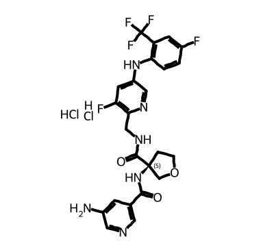 Cl.Cl.Nc1cncc(C(=O)N[C@@]2(C(=O)NCc3ncc(Nc4ccc(F)cc4C(F)(F)F)cc3F)CCOC2)c1